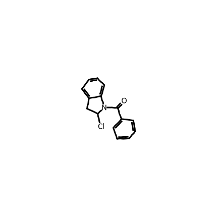 O=C(c1ccccc1)N1c2ccccc2CC1Cl